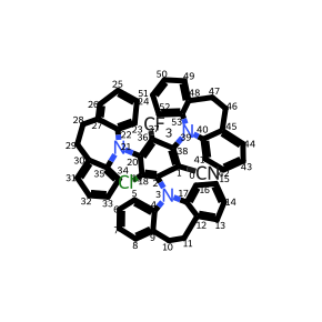 N#Cc1c(N2c3ccccc3CCc3ccccc32)c(Cl)c(N2c3ccccc3CCc3ccccc32)c(C(F)(F)F)c1N1c2ccccc2CCc2ccccc21